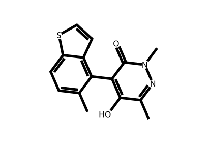 Cc1ccc2sccc2c1-c1c(O)c(C)nn(C)c1=O